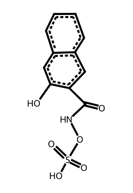 O=C(NOS(=O)(=O)O)c1cc2ccccc2cc1O